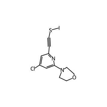 Clc1cc(C#CSI)nc(N2CCOCC2)c1